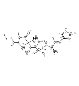 CCCC(C)C(O)C(C)C(=O)C(C)(C)C(O)C(C(=O)O)[C@@]1(C)O[C@H]1C[C@H](N)/C(C)=C/c1csc(C)n1